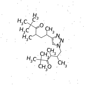 CC(CC(C)c1cn(CC(C)C(C)C(=O)C(C)(C)C)nn1)C(=O)C(C)(C)C